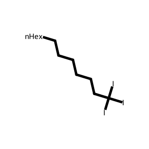 CCCCCCCCCCCCC(I)(I)I